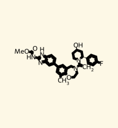 C=C(N1CCOc2c(C)cc(-c3ccc4[nH]c(NC(=O)OC)nc4c3)cc2C1)N1CC[C@H](O)C[C@@H]1c1ccc(F)cc1